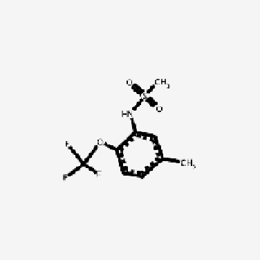 Cc1ccc(OC(F)(F)F)c(NS(C)(=O)=O)c1